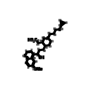 COc1ccc2nccc(C(O)CC[C@@H]3CCN(CCCSC4CC4)C[C@@H]3CC(=O)O)c2c1